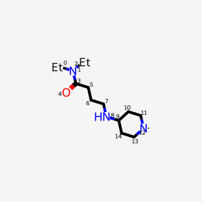 CCN(CC)C(=O)CCCNC1CC[N]CC1